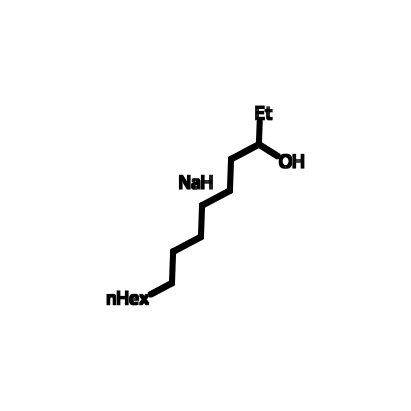 [CH2]CC(O)CCCCCCCCCCCC.[NaH]